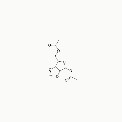 CC(=O)OCC1OC(OC(C)=O)C2OC(C)(C)OC12